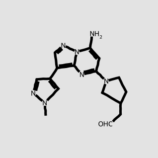 Cn1cc(-c2cnn3c(N)cc(N4CCC(CC=O)C4)nc23)cn1